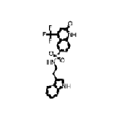 O=c1cc(C(F)(F)F)c2cc(S(=O)(=O)NCCc3c[nH]c4ccccc34)ccc2[nH]1